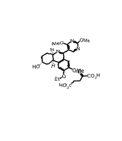 CCOc1cc2c(cc1OC)C(c1cnc(OC)nc1OC)=N[C@@H]1CC[C@@H](O)C[C@H]21.O=C(O)CCC(=O)C(=O)O